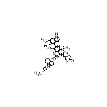 COc1nc(-c2c(C)c(C)cc3[nH]ncc23)c(F)c2nc(OC[C@]34CCC[C@H]3N(C3CC(OC)C3)CCC4)nc(N3CCC[C@]4(CNC(=O)O4)C3)c12